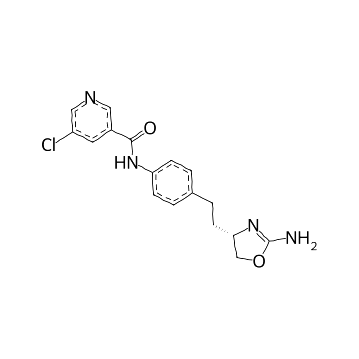 NC1=N[C@@H](CCc2ccc(NC(=O)c3cncc(Cl)c3)cc2)CO1